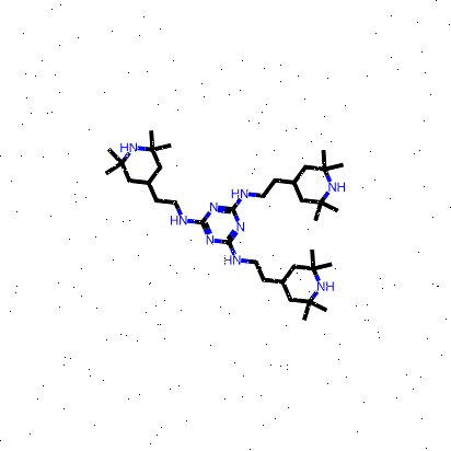 CC1(C)CC(CCNc2nc(NCCC3CC(C)(C)NC(C)(C)C3)nc(NCCC3CC(C)(C)NC(C)(C)C3)n2)CC(C)(C)N1